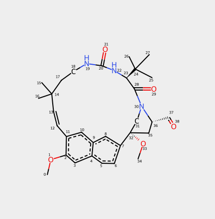 COc1cc2ccc3cc2cc1/C=C\C(C)(C)CCNC(=O)N[C@@H](C(C)(C)C)C(=O)N1C[C@@]3(OC)C[C@H]1C=O